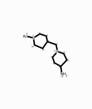 CC(=O)N1CCC(CN2CCC(N)CC2)CC1